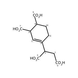 O=C(O)CC(C(=O)O)C1=CC(C(=O)O)C(C(=O)O)CC1